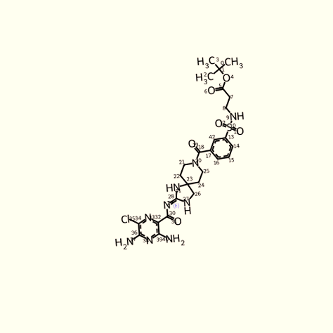 CC(C)(C)OC(=O)CCNS(=O)(=O)c1cccc(C(=O)N2CCC3(CC2)CN/C(=N\C(=O)c2nc(Cl)c(N)nc2N)N3)c1